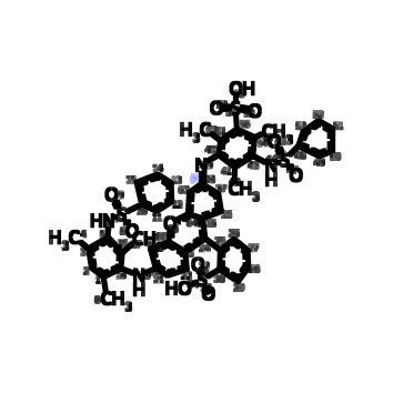 Cc1cc(C)c(NS(=O)(=O)c2ccccc2)c(C)c1Nc1ccc2c(-c3ccccc3S(=O)(=O)O)c3cc/c(=N\c4c(C)c(NS(=O)(=O)c5ccccc5)c(C)c(S(=O)(=O)O)c4C)cc-3oc2c1